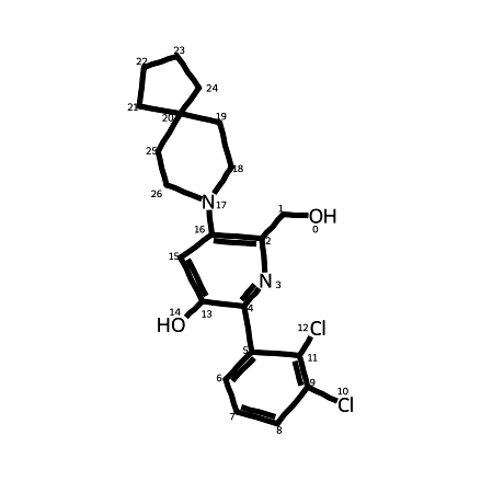 OCc1nc(-c2cccc(Cl)c2Cl)c(O)cc1N1CCC2(CCCC2)CC1